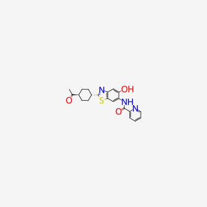 CC(=O)[C@H]1CC[C@H](c2nc3cc(O)c(NC(=O)c4ccccn4)cc3s2)CC1